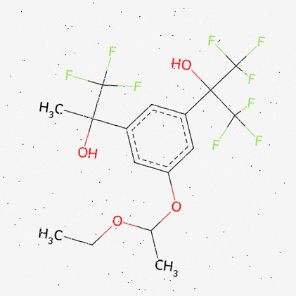 CCOC(C)Oc1cc(C(C)(O)C(F)(F)F)cc(C(O)(C(F)(F)F)C(F)(F)F)c1